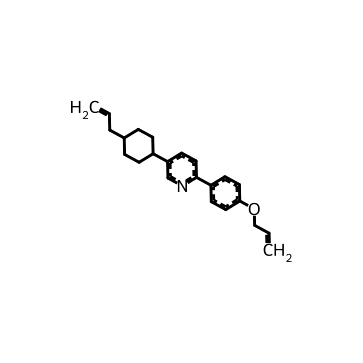 C=CCOc1ccc(-c2ccc(C3CCC(CC=C)CC3)cn2)cc1